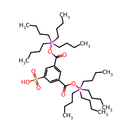 CCCCP(CCCC)(CCCC)(CCCC)OC(=O)c1cc(C(=O)OP(CCCC)(CCCC)(CCCC)CCCC)cc(S(=O)(=O)O)c1